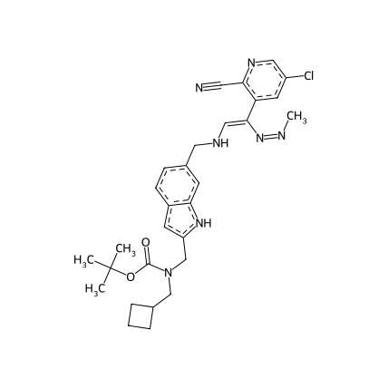 C/N=N\C(=C/NCc1ccc2cc(CN(CC3CCC3)C(=O)OC(C)(C)C)[nH]c2c1)c1cc(Cl)cnc1C#N